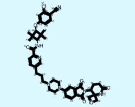 CC1(C)[C@H](NC(=O)c2ccc(CCCN3CCN(c4ccc5c(c4)C(=O)N(C4CCC(=O)NC46COC6)C5=O)CC3)cn2)C(C)(C)[C@H]1Oc1ccc(C#N)c(Cl)c1